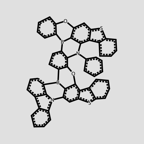 c1ccc(N2c3c(ccc4c3Oc3c5c(cc6sc7ccccc7c36)-n3c6ccccc6c6cccc(c63)B45)B3c4ccccc4Oc4cc5sc6ccccc6c5c2c43)cc1